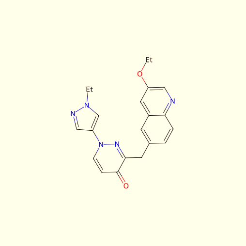 CCOc1cnc2ccc(Cc3nn(-c4cnn(CC)c4)ccc3=O)cc2c1